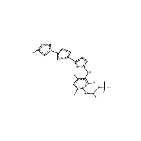 Cc1cn(-c2ccc(-c3csc(Nc4c(C)cc(C)c(NC(C)SC(C)(C)C)c4C)n3)cc2)cn1